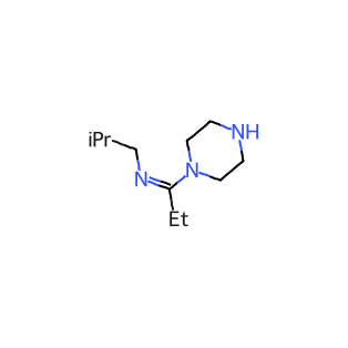 CC/C(=N/CC(C)C)N1CCNCC1